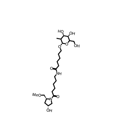 COC[C@@H]1C[C@@H](O)CN1C(=O)CCCCCNC(=O)CCCCCO[C@@H]1OC(CO)[C@H](O)[C@H](O)C1C